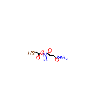 NC(=O)CCC(=O)NOC(=O)CS